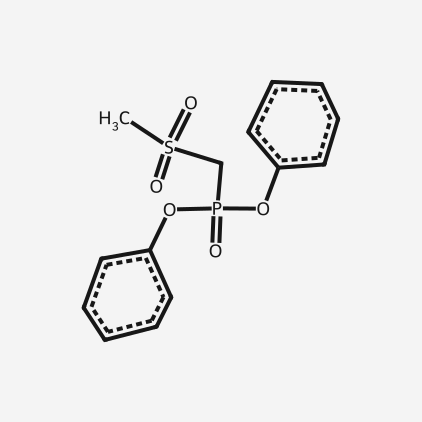 CS(=O)(=O)CP(=O)(Oc1ccccc1)Oc1ccccc1